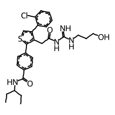 CCC(CC)NC(=O)c1ccc(-c2scc(-c3ccccc3Cl)c2CC(=O)NC(=N)NCCCO)cc1